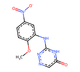 COc1ccc([N+](=O)[O-])cc1Nc1nncc(=O)[nH]1